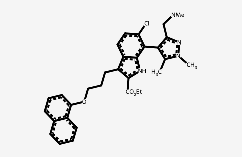 CCOC(=O)c1[nH]c2c(-c3c(CNC)nn(C)c3C)c(Cl)ccc2c1CCCOc1cccc2ccccc12